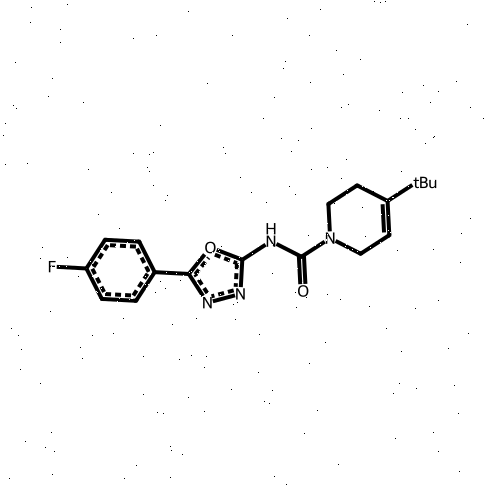 CC(C)(C)C1=CCN(C(=O)Nc2nnc(-c3ccc(F)cc3)o2)CC1